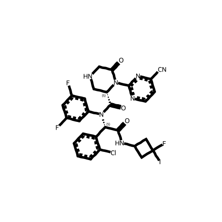 N#Cc1ccnc(N2C(=O)CNC[C@H]2C(=O)N(c2cc(F)cc(F)c2)[C@H](C(=O)NC2CC(F)(I)C2)c2ccccc2Cl)n1